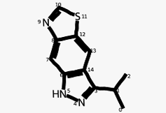 CC(C)c1n[nH]c2cc3ncsc3cc12